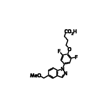 COCc1ccc2c(cnn2-c2cc(F)c(OCCCC(=O)O)c(F)c2)c1